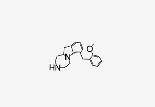 COc1ccccc1Cc1cccc2c1N1CCNCCC1C2